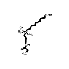 C=CC(=O)NCCC[N+](C)(C)CCCCCCCCCCCCCCCCCC.[Cl-]